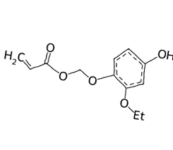 C=CC(=O)OCOc1ccc(O)cc1OCC